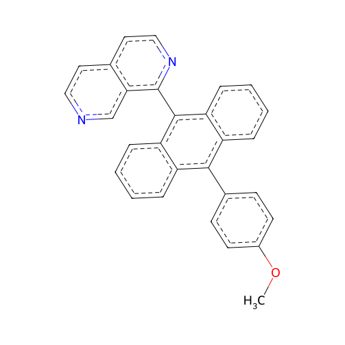 COc1ccc(-c2c3ccccc3c(-c3nccc4ccncc34)c3ccccc23)cc1